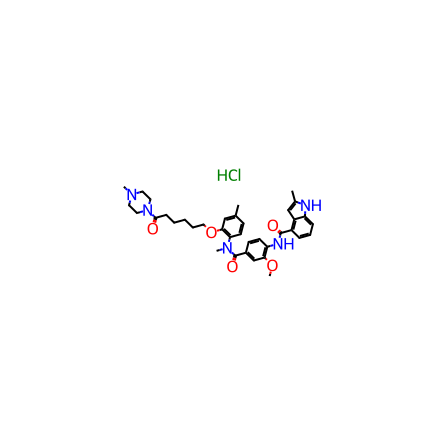 COc1cc(C(=O)N(C)c2ccc(C)cc2OCCCCCC(=O)N2CCN(C)CC2)ccc1NC(=O)c1cccc2[nH]c(C)cc12.Cl